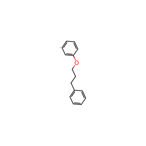 [c]1cccc(OCCCc2ccccc2)c1